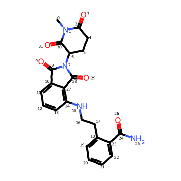 CN1C(=O)CCC(N2C(=O)c3cccc(NCCc4ccccc4C(N)=O)c3C2=O)C1=O